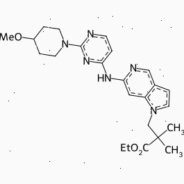 CCOC(=O)C(C)(C)Cn1ccc2cnc(Nc3ccnc(N4CCC(OC)CC4)n3)cc21